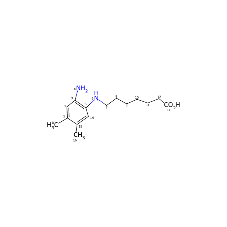 Cc1cc(N)c(NCCCCCCC(=O)O)cc1C